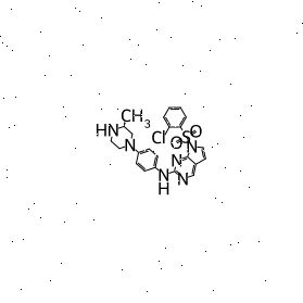 C[C@H]1CN(c2ccc(Nc3ncc4ccn(S(=O)(=O)c5ccccc5Cl)c4n3)cc2)CCN1